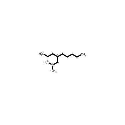 CCCCCC(CCC)CN(C)C